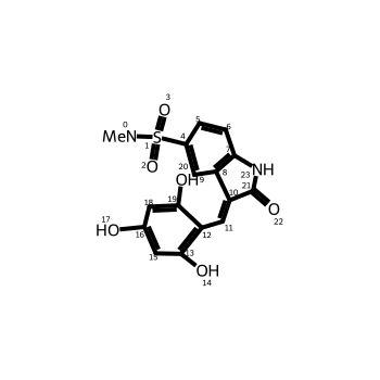 CNS(=O)(=O)c1ccc2c(c1)C(=Cc1c(O)cc(O)cc1O)C(=O)N2